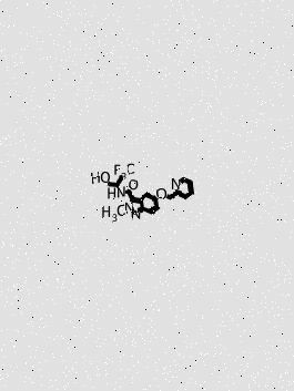 Cn1nc2ccc(OCc3ccccn3)cc2c1C(=O)NC(CO)CC(F)(F)F